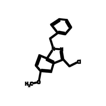 COc1ccc2c(c1)c(CCl)nn2Cc1ccccc1